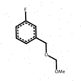 COCO[CH]c1cccc(F)c1